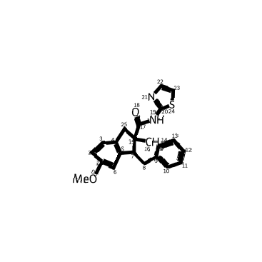 COc1ccc2c(c1)C(Cc1ccccc1)C(C)(C(=O)Nc1nccs1)C2